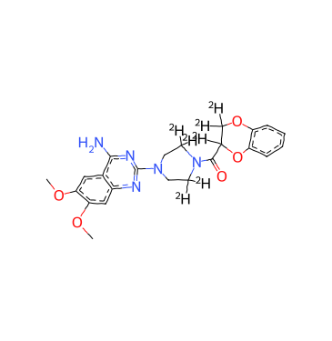 [2H]C1([2H])CN(c2nc(N)c3cc(OC)c(OC)cc3n2)CC([2H])([2H])N1C(=O)C1([2H])Oc2ccccc2OC1([2H])[2H]